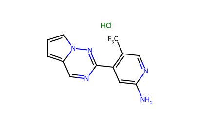 Cl.Nc1cc(-c2ncc3cccn3n2)c(C(F)(F)F)cn1